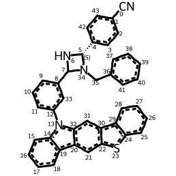 N#Cc1ccc([C@H]2NC(c3cccc(-n4c5ccccc5c5cc6sc7ccccc7c6cc54)c3)N2Cc2ccccc2)cc1